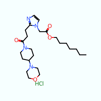 CCCCCCCOC(=O)Cn1ccnc1CCC(=O)N1CCC(N2CCOCC2)CC1.Cl